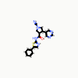 N#CN1CC(C(=O)Nc2ncc(-c3ccccc3)s2)C(c2cncnc2)C1